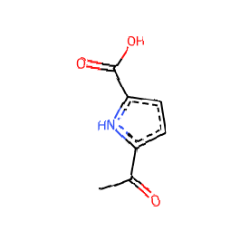 CC(=O)c1ccc(C(=O)O)[nH]1